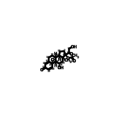 CC(=O)O[C@]1(C(=O)CO)CC[C@H]2[C@@H]3CCC4=CC(=O)C=C[C@]4(C)[C@H]3[C@@H](O)C[C@@]21C